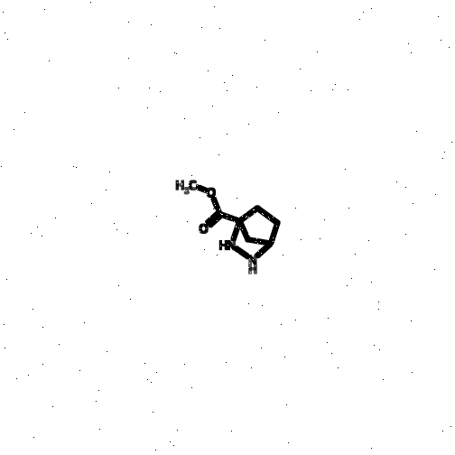 COC(=O)C12CCC(C1)NN2